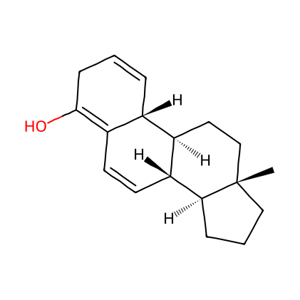 C[C@@]12CCC[C@H]1[C@@H]1C=CC3=C(O)CC=C[C@@H]3[C@H]1CC2